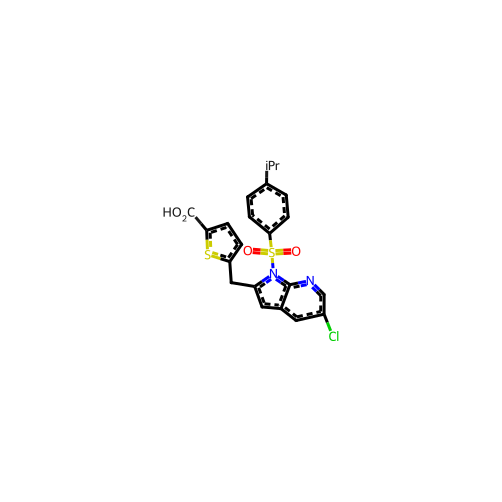 CC(C)c1ccc(S(=O)(=O)n2c(Cc3ccc(C(=O)O)s3)cc3cc(Cl)cnc32)cc1